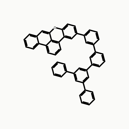 c1ccc(-c2cc(-c3ccccc3)cc(-c3cccc(-c4cccc(-c5ccc6c(c5)-c5cccc7c5c(cc5ccccc57)O6)c4)c3)c2)cc1